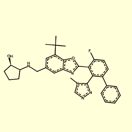 Cn1cnnc1-c1c(-c2ccccc2)ccc(F)c1-c1nc2cc(CNC3CCC[C@H]3O)cc(C(C)(C)C)c2o1